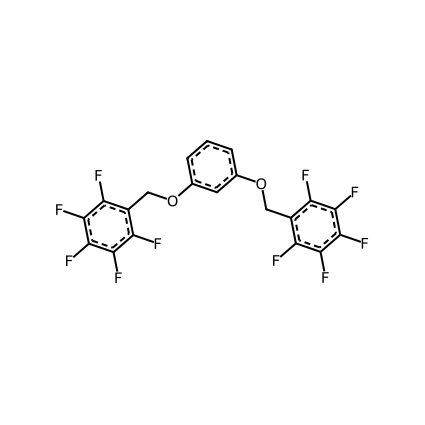 Fc1c(F)c(F)c(COc2cccc(OCc3c(F)c(F)c(F)c(F)c3F)c2)c(F)c1F